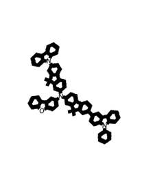 CC1(C)c2cc(-c3ccc4c(c3)c3ccccc3n4-c3ccccc3)ccc2-c2ccc(N(c3ccc4c(c3)C(C)(C)c3cc(-n5c6ccccc6c6ccccc65)ccc3-4)c3ccc4oc5ccccc5c4c3)cc21